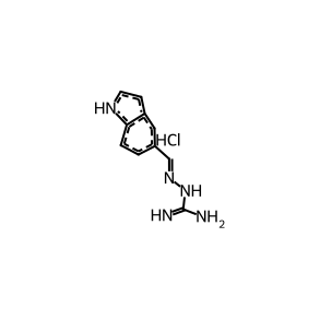 Cl.N=C(N)NN=Cc1ccc2[nH]ccc2c1